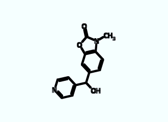 Cn1c(=O)oc2cc(C(O)c3ccncc3)ccc21